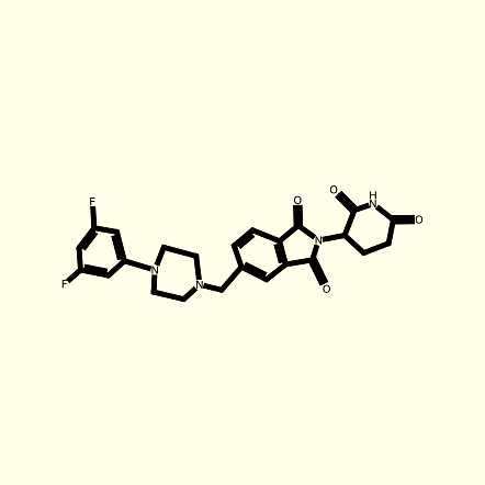 O=C1CCC(N2C(=O)c3ccc(CN4CCN(c5cc(F)cc(F)c5)CC4)cc3C2=O)C(=O)N1